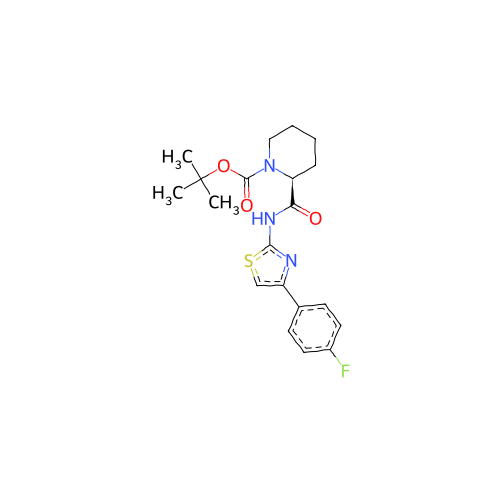 CC(C)(C)OC(=O)N1CCCC[C@H]1C(=O)Nc1nc(-c2ccc(F)cc2)cs1